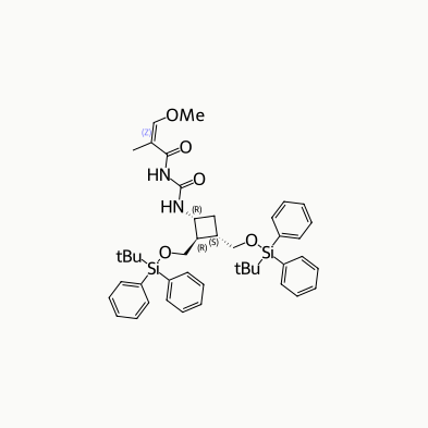 CO/C=C(/C)C(=O)NC(=O)N[C@@H]1C[C@H](CO[Si](c2ccccc2)(c2ccccc2)C(C)(C)C)[C@H]1CO[Si](c1ccccc1)(c1ccccc1)C(C)(C)C